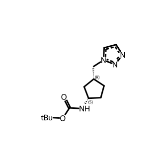 CC(C)(C)OC(=O)N[C@H]1CC[C@@H](Cn2ccnn2)C1